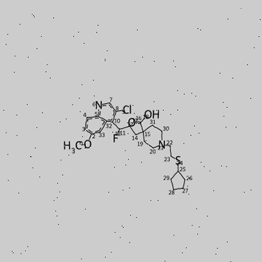 COc1ccc2ncc(Cl)c([C@H](F)CCC3(C(=O)O)CCN(CCSC4CCCC4)CC3)c2c1